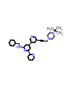 CC(C)(C)N1CCN(CC#Cc2cncc(-c3cc(NCc4ccccc4)nc(-c4ccccn4)c3)c2)CC1